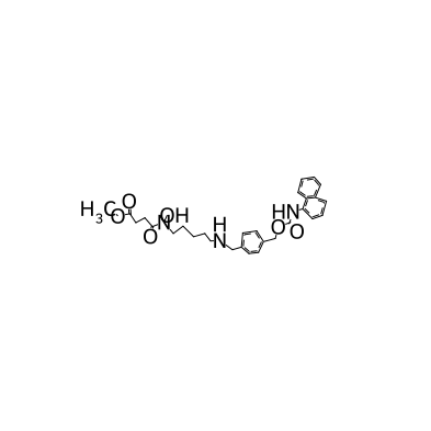 COC(=O)CCC(=O)N(O)CCCCCNCc1ccc(COC(=O)Nc2cccc3ccccc23)cc1